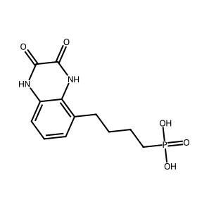 O=c1[nH]c2cccc(CCCCP(=O)(O)O)c2[nH]c1=O